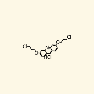 Cl.ClCCCOc1ccc2cc3ccc(OCCCCl)cc3nc2c1